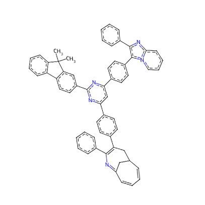 CC1(C)c2ccccc2-c2ccc(-c3nc(-c4ccc(C5=C(c6ccccc6)N=C6C=CC=CC(C6)C5)cc4)cc(-c4ccc(-c5c(-c6ccccc6)nc6ccccn56)cc4)n3)cc21